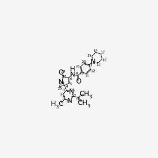 Cc1cc(C23C=C(NC(=O)c4ccc(N5CCCCC5)cc4)C(=O)N2C3)nc(C(C)C)n1